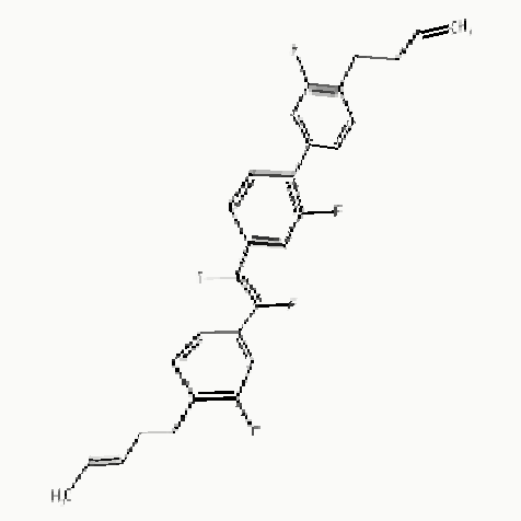 C=CCCc1ccc(-c2ccc(/C(F)=C(\F)c3ccc(CC/C=C/C)c(F)c3)cc2F)cc1F